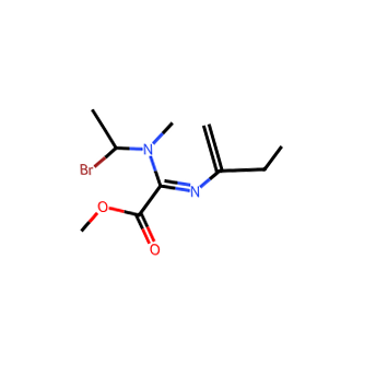 C=C(CC)/N=C(/C(=O)OC)N(C)C(C)Br